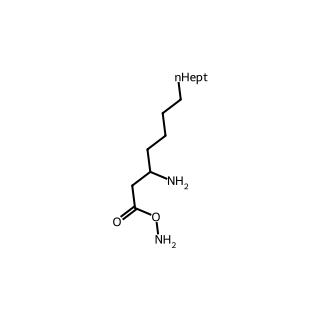 CCCCCCCCCCCC(N)CC(=O)ON